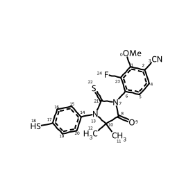 COc1c(C#N)ccc(N2C(=O)C(C)(C)N(c3ccc(S)cc3)C2=S)c1F